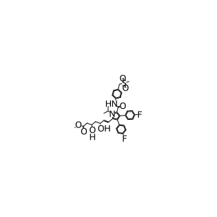 COC(=O)C[C@H](O)C[C@@H](O)C=Cc1c(-c2ccc(F)cc2)c(-c2ccc(F)cc2)c(C(=O)Nc2ccc(CS(C)(=O)=O)cc2)n1C(C)C